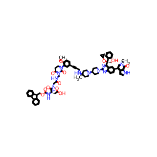 COc1ccc(C#CCNC2(C)CCN(C3CCN(c4nc([C@@](CO)(OC5CC5)c5ccccc5)c5cc(-c6cn(C)c(=O)c7[nH]ccc67)ccc5n4)CC3)CC2)cc1N1CCC(=O)N(CNC(=O)CNC(=O)[C@H](CC(=O)O)NC(=O)OCC2c3ccccc3-c3ccccc32)C1=O